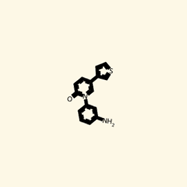 Nc1cccc(-n2cc(-c3ccsc3)ccc2=O)c1